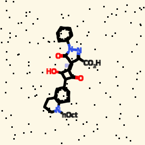 CCCCCCCCN1CCCc2cc(C3C(=O)/C(=C4/C(=O)N(c5ccccc5)N=C4C(=O)O)C3O)ccc21